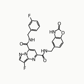 O=C(NCc1ccc2oc(=O)[nH]c2c1)c1cc(C(=O)NCc2cccc(F)c2)n2ncc(F)c2n1